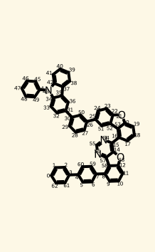 c1ccc(-c2ccc(-c3cccc4oc5c(-c6cccc7oc8ccc(-c9cccc(-c%10ccc%11c(c%10)c%10ccccc%10n%11-c%10ccccc%10)c9)cc8c67)ncnc5c34)cc2)cc1